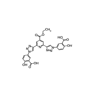 CCOC(=O)c1cc(-c2cn(-c3ccc(O)c(C(=O)O)c3)nn2)nc(-c2cn(-c3ccc(O)c(C(=O)O)c3)nn2)c1